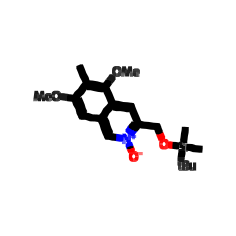 COc1cc2c[n+]([O-])c(CO[Si](C)(C)C(C)(C)C)cc2c(OC)c1C